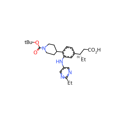 CCc1ncc(Nc2cc([C@@H](CC)CC(=O)O)ccc2C2CCN(C(=O)OC(C)(C)C)CC2)cn1